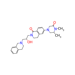 CC1CN(c2ccc3c(c2)CCN(CC(O)CN2CCc4ccccc4C2)C3=O)CC(=O)N1C